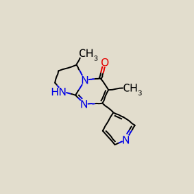 Cc1c(-c2ccncc2)nc2n(c1=O)C(C)CCN2